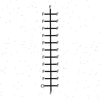 FC(F)(F)C(F)(F)C(F)(F)C(F)(F)C(F)(F)C(F)(F)C(F)(F)C(F)(F)C(F)(F)C(F)(F)C(F)(F)Cl